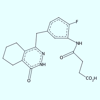 O=C(O)CCC(=O)Nc1cc(Cc2n[nH]c(=O)c3c2CCCC3)ccc1F